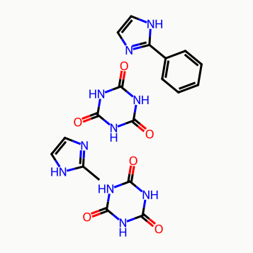 Cc1ncc[nH]1.O=c1[nH]c(=O)[nH]c(=O)[nH]1.O=c1[nH]c(=O)[nH]c(=O)[nH]1.c1ccc(-c2ncc[nH]2)cc1